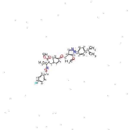 COC(=O)C(Cc1ccc(OCc2cnn(-c3ccc(C(C)C)cc3)c2OC)cc1)C(C)=NOCc1ccc(F)cc1